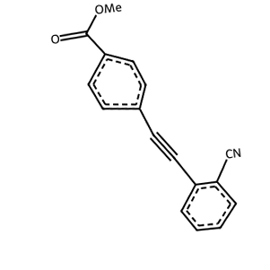 COC(=O)c1ccc(C#Cc2ccccc2C#N)cc1